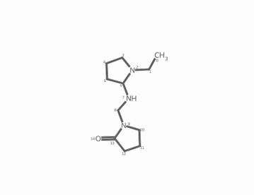 CCN1CCCC1NCN1CCCC1=O